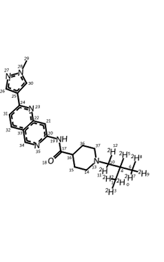 [2H]C([2H])([2H])C([2H])(C([2H])([2H])[2H])C([2H])([2H])N1CCC(C(=O)Nc2cc3nc(-c4cnn(C)c4)ccc3cn2)CC1